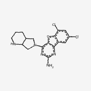 Nc1nc(N2CC3CCCNC3C2)c2oc3c(Cl)cc(Cl)cc3c2n1